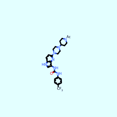 CC(=O)N1CCC(N2CCN(c3ccc4[nH]cc(NC(=O)Nc5ccc(C(F)(F)F)cc5)c4n3)CC2)CC1